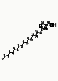 CCCCCCCCCCCCCCC=CCC1=NC(CO)CO1